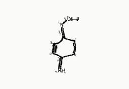 N=C1C=CC(=NO)C=C1